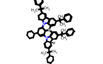 CC(C)(C1=C[C@H]2C3CC(C(C)(C)c4ccccc4)=CC4=C3N(C3=CC(C5CCCCC5)CC5C3B4C3=CC(C(C)(C)c4ccccc4)CC4=C3N5C3CCC(C(C)(C)c5ccccc5)C=C43)C2C=C1)C1=CCCCC1